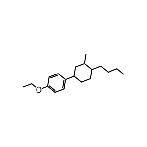 CCCCC1CCC(c2ccc(OCC)cc2)CC1C